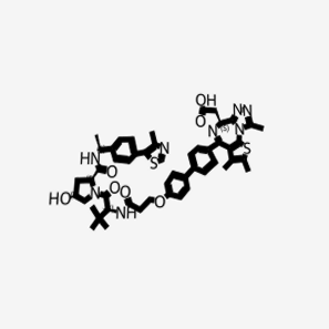 Cc1ncsc1-c1ccc([C@H](C)NC(=O)[C@@H]2C[C@@H](O)CN2C(=O)[C@@H](NC(=O)CCOc2ccc(-c3ccc(C4=N[C@@H](CC(=O)O)c5nnc(C)n5-c5sc(C)c(C)c54)cc3)cc2)C(C)(C)C)cc1